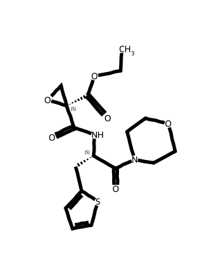 CCOC(=O)[C@@]1(C(=O)N[C@@H](Cc2cccs2)C(=O)N2CCOCC2)CO1